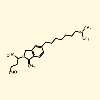 C=C1c2ccc(CCCCCCCN(C)C)cc2CN1C(C=O)CCC=O